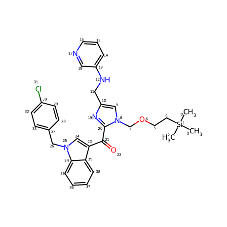 C[Si](C)(C)CCOCn1cc(CNc2cccnc2)nc1C(=O)c1cn(Cc2ccc(Cl)cc2)c2ccccc12